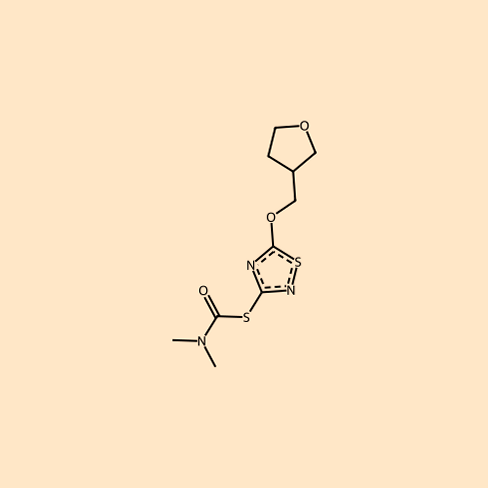 CN(C)C(=O)Sc1nsc(OCC2CCOC2)n1